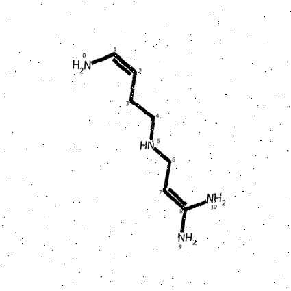 N/C=C\CCNCC=C(N)N